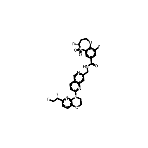 C[C@@H](CF)c1ccc2c(n1)N(c1ccc3cnc(CNC(=O)c4cc(F)c5c(c4)S(=O)(=O)[C@@H](F)CCO5)cc3n1)CCO2